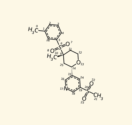 Cc1cccc(S(=O)(=O)[C@]2(C)CCO[C@H](c3cncc(S(C)(=O)=O)c3)C2)c1